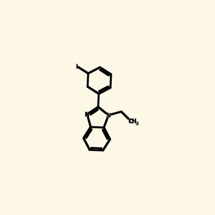 CCn1c(C2=CC=CC(I)C2)nc2ccccc21